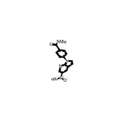 CCCC[S+]([O-])c1cnc2c(ccn2-c2ccc(C(=O)NC)cc2)c1